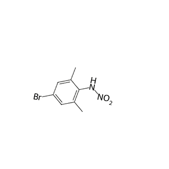 Cc1cc(Br)cc(C)c1N[N+](=O)[O-]